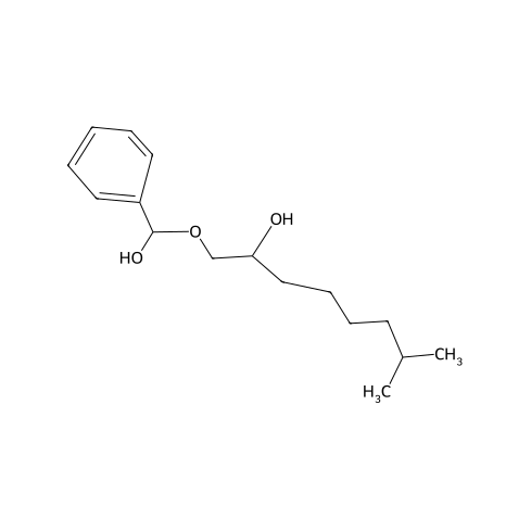 CC(C)CCCCC(O)COC(O)c1ccccc1